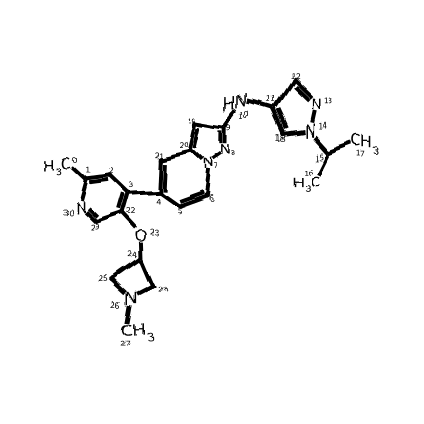 Cc1cc(-c2ccn3nc(Nc4cnn(C(C)C)c4)cc3c2)c(OC2CN(C)C2)cn1